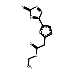 CCOC(=O)Cc1ccc(C2=NC(=S)N=N2)s1